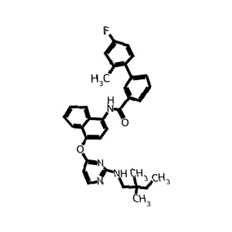 CCC(C)(C)CNc1nccc(Oc2ccc(NC(=O)c3cccc(-c4ccc(F)cc4C)c3)c3ccccc23)n1